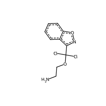 NCCOC(Cl)(Cl)c1noc2ccccc12